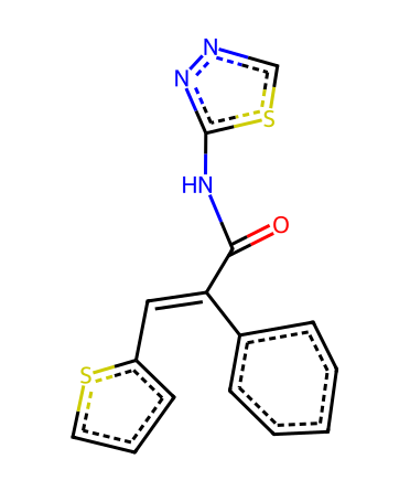 O=C(Nc1nncs1)/C(=C/c1cccs1)c1ccccc1